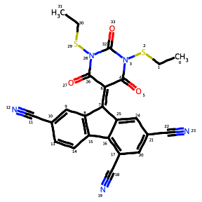 CCSN1C(=O)C(=C2c3cc(C#N)ccc3-c3c(C#N)cc(C#N)cc32)C(=O)N(SCC)C1=O